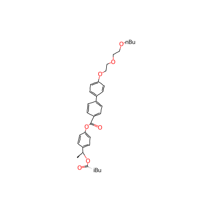 CCCCOCCOCCOc1ccc(-c2ccc(C(=O)Oc3ccc([C@H](C)OC(=O)[C@@H](C)CC)cc3)cc2)cc1